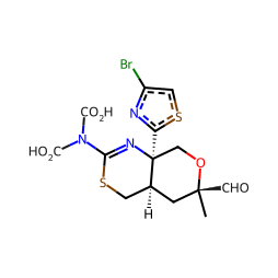 C[C@]1(C=O)C[C@H]2CSC(N(C(=O)O)C(=O)O)=N[C@@]2(c2nc(Br)cs2)CO1